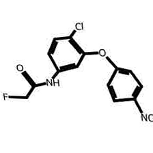 O=C(CF)Nc1ccc(Cl)c(Oc2ccc([N+](=O)[O-])cc2)c1